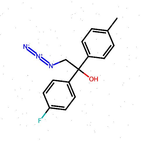 Cc1ccc(C(O)(CN=[N+]=[N-])c2ccc(F)cc2)cc1